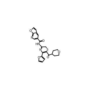 O=C(NC1=NC(c2ccco2)=C(C(=O)C2CCOCC2)SC1)c1cnc2occc2c1